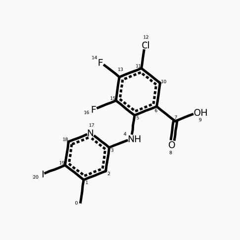 Cc1cc(Nc2c(C(=O)O)cc(Cl)c(F)c2F)ncc1I